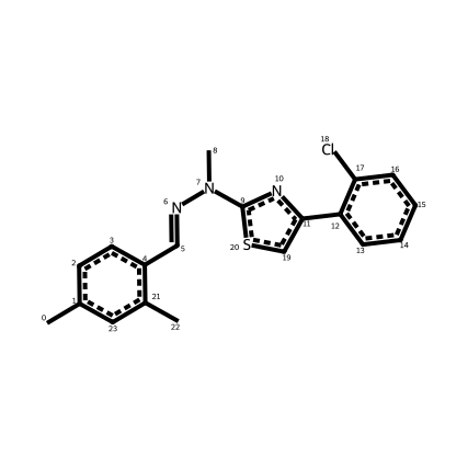 Cc1ccc(/C=N/N(C)c2nc(-c3ccccc3Cl)cs2)c(C)c1